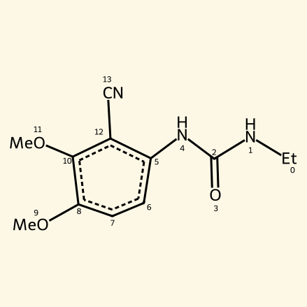 CCNC(=O)Nc1ccc(OC)c(OC)c1C#N